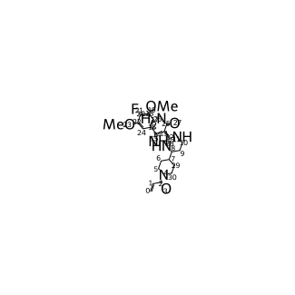 C=CC(=O)N1CCC(C2CCN/C(=C(/C(=N)c3cc(OC)c(F)c(OC)c3)C(N)=O)N2)CC1